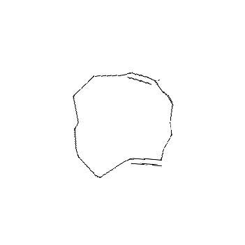 [C]1=C\CCCCC/C=C/CC/1